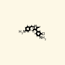 Cc1nn(Cc2ccc(N)cc2)c(C)c1-c1ccc(N)c(Cl)c1